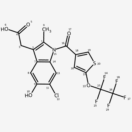 Cc1c(CC(=O)O)c2cc(O)c(Cl)cc2n1C(=O)c1csc(OC(F)(F)C(F)(F)F)c1